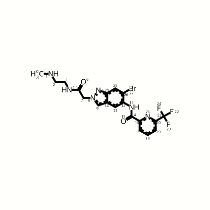 CNCCNC(=O)Cn1cc2cc(NC(=O)c3cccc(C(F)(F)F)n3)c(Br)cc2n1